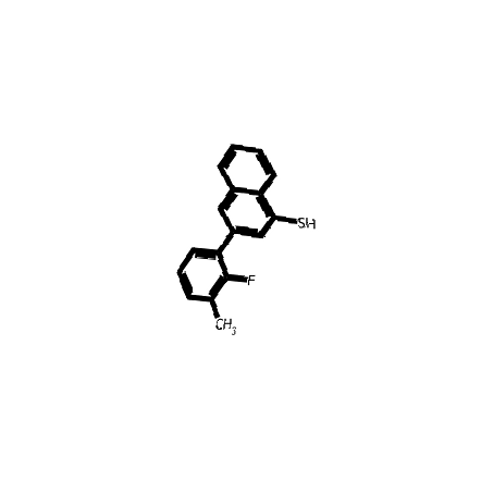 Cc1cccc(-c2[c]c(S)c3ccccc3c2)c1F